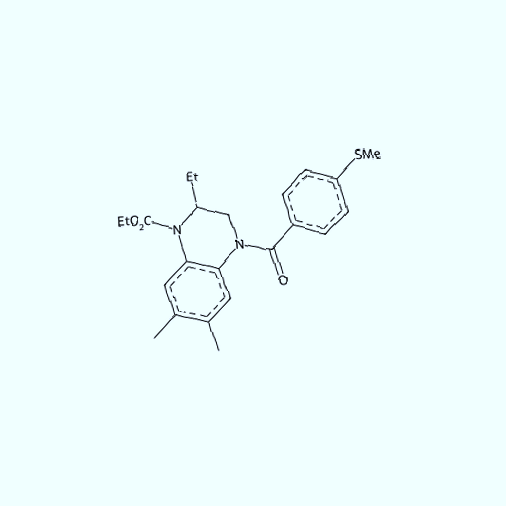 CCOC(=O)N1c2cc(C)c(C)cc2N(C(=O)c2ccc(SC)cc2)CC1CC